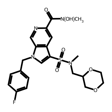 CN(O)C(=O)c1cc2c(S(=O)(=O)N(C)CC3COCCO3)cn(Cc3ccc(F)cc3)c2cn1